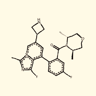 Cc1nc(F)c2c(-c3ccc(F)cc3C(=O)N3[C@H](C)COC[C@H]3C)cc(C3CNC3)cn12